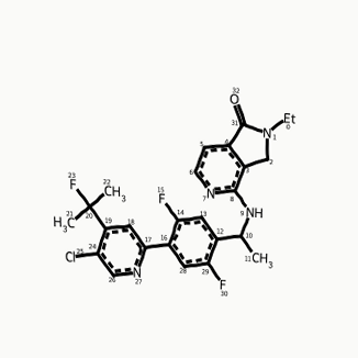 CCN1Cc2c(ccnc2NC(C)c2cc(F)c(-c3cc(C(C)(C)F)c(Cl)cn3)cc2F)C1=O